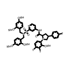 COc1ccc(CN(Cc2ccc(OC)cc2OC)S(=O)(=O)c2cc(NC(=O)C3CC(c4ccc(F)cc4)CN3c3ccc(F)c(F)c3OC)ccn2)c(OC)c1